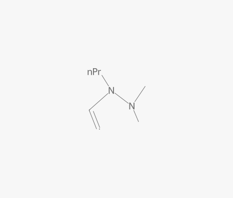 [CH]=CN(CCC)N(C)C